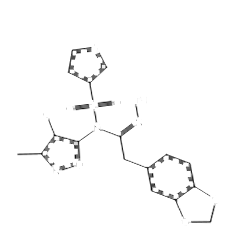 Cc1noc(N(C(Cc2ccc3c(c2)OCO3)=NO)S(=O)(=O)c2ccsc2)c1Cl